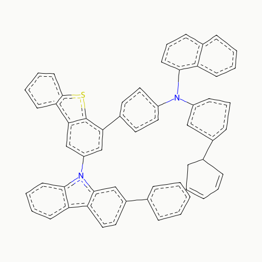 C1=CCC(c2cccc(N(c3ccc(-c4cc(-n5c6ccccc6c6ccc(-c7ccccc7)cc65)cc5c4sc4ccccc45)cc3)c3cccc4ccccc34)c2)C=C1